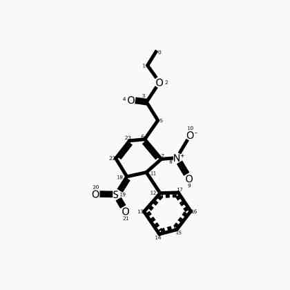 CCOC(=O)CC1=C([N+](=O)[O-])C(c2ccccc2)C(=S(=O)=O)C=C1